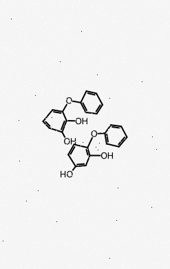 Oc1ccc(Oc2ccccc2)c(O)c1.Oc1cccc(Oc2ccccc2)c1O